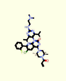 C=CC(=O)N1C[C@H](C)N(c2nc(=O)n(-c3c(C(C)C)nc(NCCN(C)C)nc3C(C)C)c3nc(-c4ccccc4F)c(Cl)cc23)C[C@H]1C